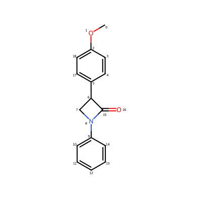 COc1ccc(C2CN(c3ccccc3)C2=O)cc1